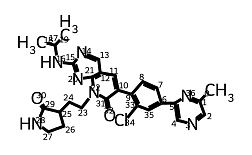 Cc1cncc(-c2ccc(-c3cc4cnc(NC(C)C)nc4n(CCC4CCNC4=O)c3=O)c(Cl)c2)n1